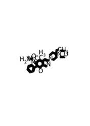 CCC1(N2CCOCC2)CCN(c2cc3c(cn2)C(=O)c2c(n(C(N)=O)c4ccccc24)C3(C)C)CC1